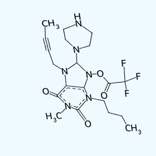 CC#CCN1c2c(n(CCCC)c(=O)n(C)c2=O)N(OC(=O)C(F)(F)F)C1N1CCNCC1